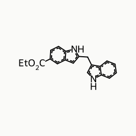 CCOC(=O)c1ccc2[nH]c(Cc3c[nH]c4ccccc34)cc2c1